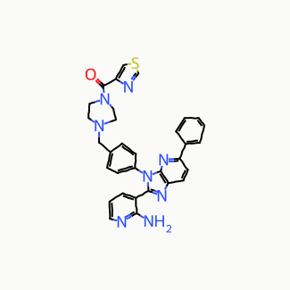 Nc1ncccc1-c1nc2ccc(-c3ccccc3)nc2n1-c1ccc(CN2CCN(C(=O)c3cscn3)CC2)cc1